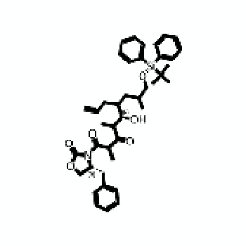 C=CCC(CC(C)CO[Si](c1ccccc1)(c1ccccc1)C(C)(C)C)[C@@H](O)C(C)C(=O)C(C)C(=O)N1C(=O)OC[C@H]1Cc1ccccc1